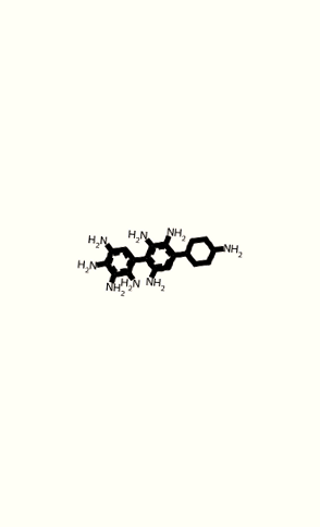 Nc1cc(-c2c(N)cc(C3CCC(N)CC3)c(N)c2N)c(N)c(N)c1N